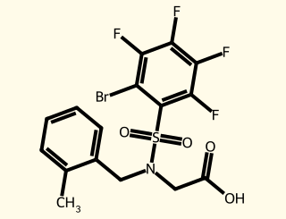 Cc1ccccc1CN(CC(=O)O)S(=O)(=O)c1c(F)c(F)c(F)c(F)c1Br